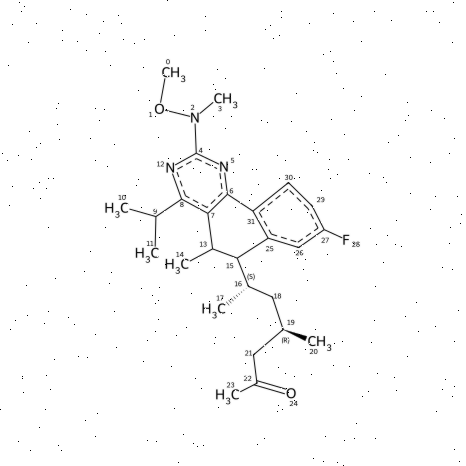 CON(C)c1nc2c(c(C(C)C)n1)C(C)C([C@@H](C)C[C@@H](C)CC(C)=O)c1cc(F)ccc1-2